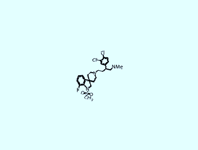 CNCC(CCN1CCC2(CC1)CN(S(C)(=O)=O)c1c(F)cccc12)c1ccc(Cl)c(Cl)c1